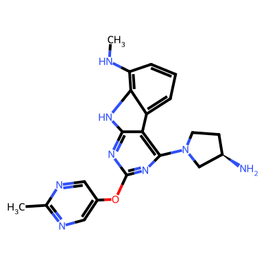 CNc1cccc2c1[nH]c1nc(Oc3cnc(C)nc3)nc(N3CC[C@@H](N)C3)c12